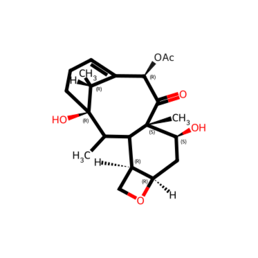 CC(=O)O[C@H]1C(=O)[C@@]2(C)C(C(C)[C@]3(O)CCC=C1[C@H]3C)[C@@H]1CO[C@@H]1C[C@@H]2O